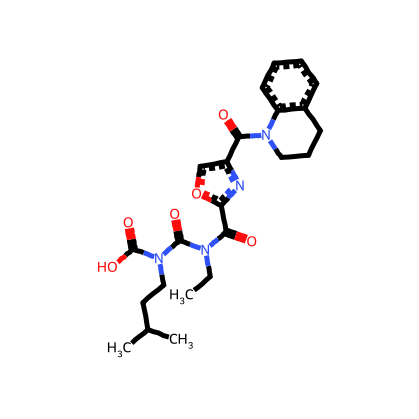 CCN(C(=O)c1nc(C(=O)N2CCCc3ccccc32)co1)C(=O)N(CCC(C)C)C(=O)O